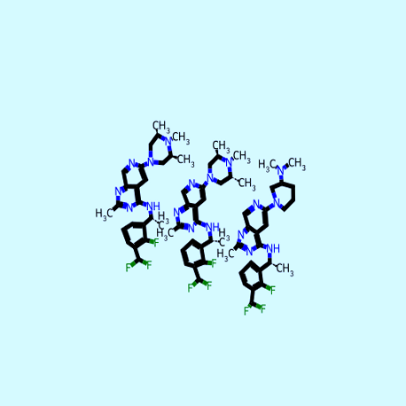 Cc1nc(N[C@H](C)c2cccc(C(F)F)c2F)c2cc(N3CCCC(N(C)C)C3)ncc2n1.Cc1nc(N[C@H](C)c2cccc(C(F)F)c2F)c2cc(N3C[C@@H](C)N(C)[C@H](C)C3)ncc2n1.Cc1nc(N[C@H](C)c2cccc(C(F)F)c2F)c2cc(N3C[C@H](C)N(C)[C@@H](C)C3)ncc2n1